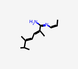 C\C=C/N=C(N)\C(C)=C\C=C(/C)C(C)C